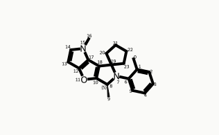 Cc1ccccc1N1[C@@H](C)c2oc3ccn(C)c3c2C12CCCC2